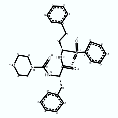 O=C(N[C@@H](CCc1ccccc1)S(=O)(=O)c1ccccc1)[C@H](Cc1ccccc1)NC(=O)N1CCOCC1